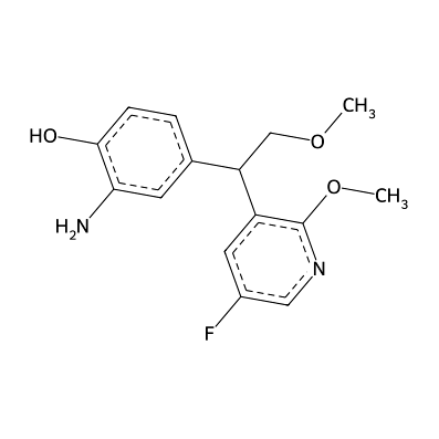 COCC(c1ccc(O)c(N)c1)c1cc(F)cnc1OC